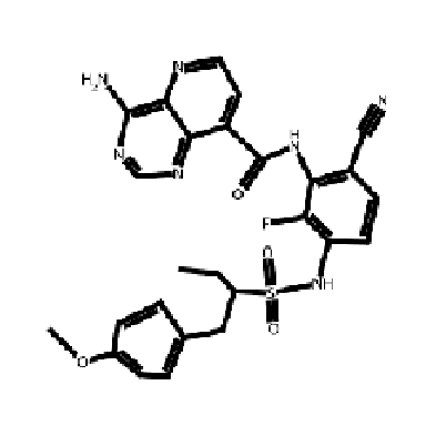 CCC(Cc1ccc(OC)cc1)S(=O)(=O)Nc1ccc(C#N)c(NC(=O)c2ccnc3c(N)ncnc23)c1F